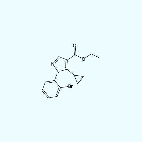 CCOC(=O)c1cnn(-c2ccccc2Br)c1C1CC1